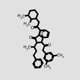 Cc1cc(C)cc(CC(=O)C2C(C(C)CCc3ccccc3)C(=O)C3C(C(=O)CC4CCCC(C)C4C)C4C=CC23O4)c1